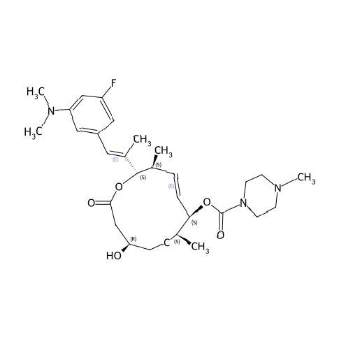 C/C(=C\c1cc(F)cc(N(C)C)c1)[C@H]1OC(=O)C[C@H](O)CC[C@H](C)[C@H](OC(=O)N2CCN(C)CC2)/C=C/[C@@H]1C